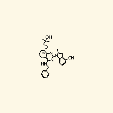 Cc1cc2c(C#N)cccc2n1-c1nc(NCc2ccccc2)c2c(n1)[C@@H](OCC(C)(C)O)CCC2